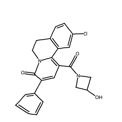 O=C(c1cc(-c2ccccc2)c(=O)n2c1-c1cc(Cl)ccc1CC2)N1CC(O)C1